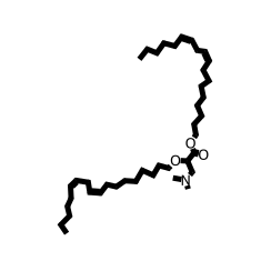 CCCCC/C=C\C/C=C\CCCCCCCCOC(=O)C(CN(C)C)OCCCCCCCC/C=C\C/C=C\CCCCC